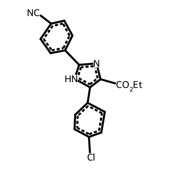 CCOC(=O)c1nc(-c2ccc(C#N)cc2)[nH]c1-c1ccc(Cl)cc1